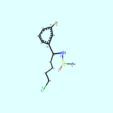 CC(C)(C)[S+]([O-])NC(CCCCCl)c1cccc(Br)c1